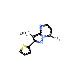 CCOC(=O)c1c(-c2cccs2)nn2c(C(F)(F)F)ccnc12